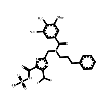 COc1cc(C(=O)N(CCCc2ccccc2)Cc2nc(C(=O)NS(N)(=O)=O)c(C(F)F)s2)cc(OC)c1C